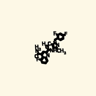 Cc1nn(Cc2ccc(F)cc2F)c(C)c1NC(=O)c1cc(C(N)=O)c2c(F)cccc2n1